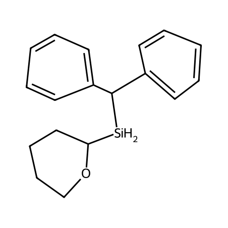 c1ccc(C([SiH2]C2CCCCO2)c2ccccc2)cc1